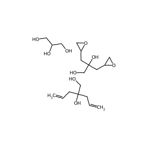 C=CCC(O)(CO)CC=C.OCC(O)(CC1CO1)CC1CO1.OCC(O)CO